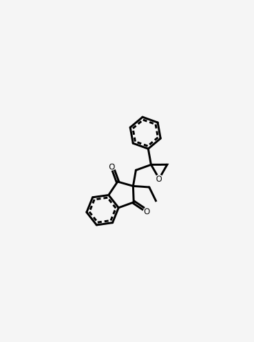 CCC1(CC2(c3ccccc3)CO2)C(=O)c2ccccc2C1=O